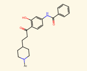 CC(=O)N1CCC(CCC(=O)c2ccc(NC(=O)c3ccccc3)cc2O)CC1